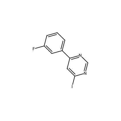 Fc1cccc(-c2cc(I)ncn2)c1